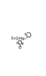 CCOc1n[s+]([O-])nc1NCc1ccccn1